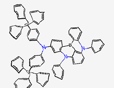 c1ccc(N2c3ccccc3B3c4ccc(N(c5ccc([Si](c6ccccc6)(c6ccccc6)c6ccccc6)cc5)c5ccc([Si](c6ccccc6)(c6ccccc6)c6ccccc6)cc5)cc4N(c4ccccc4)c4cccc2c43)cc1